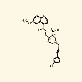 COc1ccc2nccc(C(F)CC[C@@H]3CCN(CC#Cc4ccc(Cl)s4)C[C@@H]3C(=O)O)c2c1